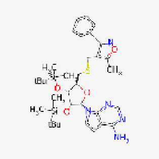 Cc1onc(-c2ccccc2)c1CSC[C@H]1O[C@@H](n2ccc3c(N)ncnc32)[C@H](O[Si](C)(C)C(C)(C)C)[C@@H]1O[Si](C)(C)C(C)(C)C